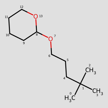 CC(C)(C)CCCOC1CCCCO1